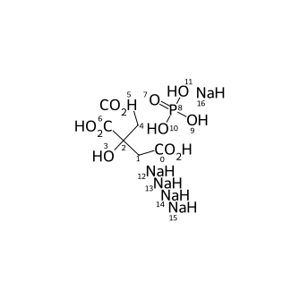 O=C(O)CC(O)(CC(=O)O)C(=O)O.O=P(O)(O)O.[NaH].[NaH].[NaH].[NaH].[NaH]